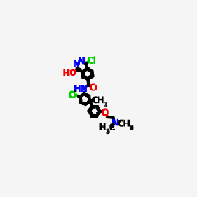 CN(C)CCOc1cccc(C2(C)C=C(NC(=O)c3ccc4c(Cl)nnc(O)c4c3)C(Cl)=CC2)c1